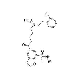 CC(C)NS(=O)(=O)c1cc(C(=O)CCCCN(CCc2ccccc2Cl)C(=O)O)cc2c1OCC2